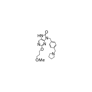 COCCCOc1ncc2[nH]c(=O)n(Cc3ccc(CN4CCCC4)cc3)c2n1